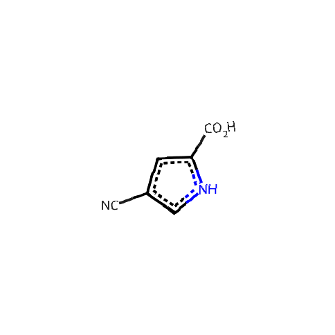 N#Cc1c[nH]c(C(=O)O)c1